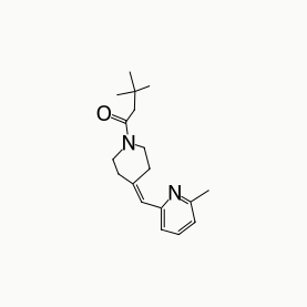 Cc1cccc(C=C2CCN(C(=O)CC(C)(C)C)CC2)n1